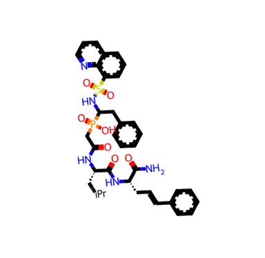 CC(C)C[C@H](NC(=O)CP(=O)(O)C(Cc1ccccc1)NS(=O)(=O)c1cccc2cccnc12)C(=O)N[C@@H](C/C=C/c1ccccc1)C(N)=O